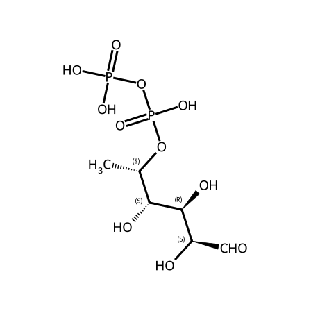 C[C@H](OP(=O)(O)OP(=O)(O)O)[C@@H](O)[C@@H](O)[C@H](O)C=O